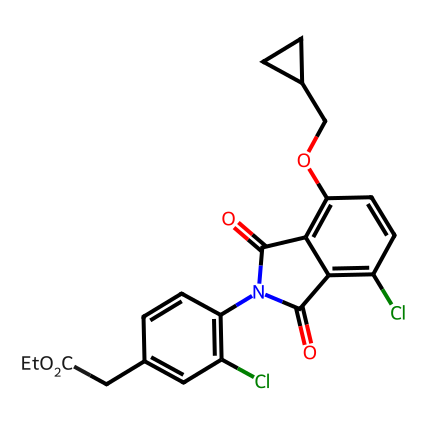 CCOC(=O)Cc1ccc(N2C(=O)c3c(Cl)ccc(OCC4CC4)c3C2=O)c(Cl)c1